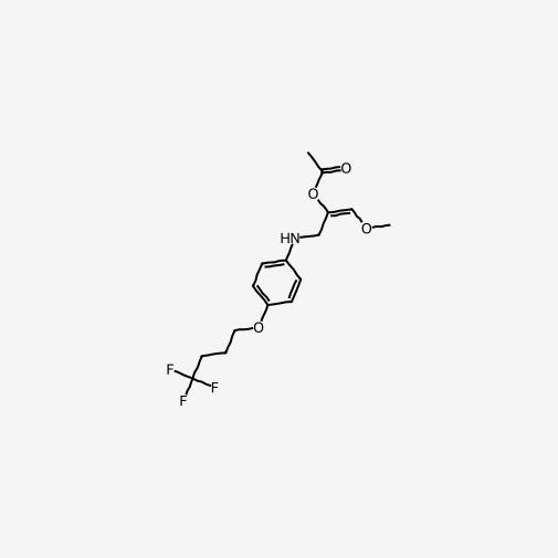 CO/C=C(\CNc1ccc(OCCCC(F)(F)F)cc1)OC(C)=O